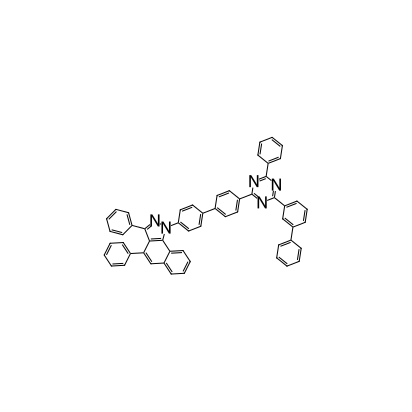 c1ccc(-c2cccc(-c3nc(-c4ccccc4)nc(-c4ccc(-c5ccc(-n6nc(-c7ccccc7)c7c(-c8ccccc8)cc8ccccc8c76)cc5)cc4)n3)c2)cc1